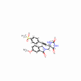 COc1ccc2c(c1)C(=O)N(C[C@@]1(C#Cc3ccc(S(C)(=O)=O)cc3)NC(=O)NC1=O)C2